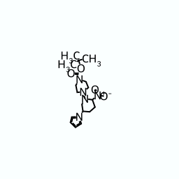 CC(C)(C)OC(=O)N1CCN(N2CC(n3cccc3)CCC2[N+](=O)[O-])CC1